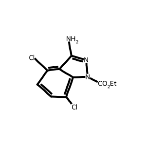 CCOC(=O)n1nc(N)c2c(Cl)ccc(Cl)c21